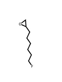 FCCCCCCC1CO1